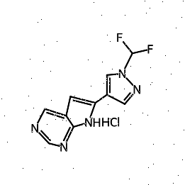 Cl.FC(F)n1cc(-c2cc3cncnc3[nH]2)cn1